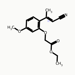 CCOC(=O)COc1cc(OC)ccc1/C(C)=C/C#N